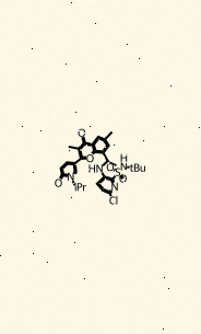 Cc1cc([C@@H](C)Nc2ccc(Cl)nc2S(=O)(=O)NC(C)(C)C)c2oc(-c3ccc(=O)n(C(C)C)c3)c(C)c(=O)c2c1